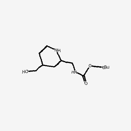 CC(C)(C)OC(=O)NCC1CC(CO)CCN1